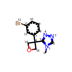 Cn1cnnc1C1(c2cccc(Br)c2)COC1